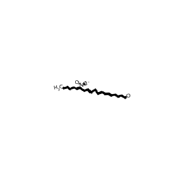 CC/C=C/C/C=C(/C/C=C/C/C=C/CCCCCC[C]=O)[N+](=O)[O-]